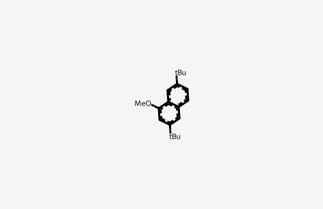 COc1cc(C(C)(C)C)cc2ccc(C(C)(C)C)cc12